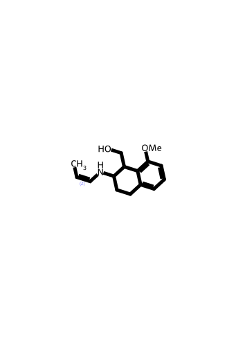 C/C=C\NC1CCc2cccc(OC)c2C1CO